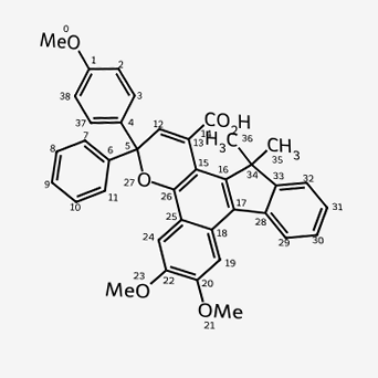 COc1ccc(C2(c3ccccc3)C=C(C(=O)O)c3c4c(c5cc(OC)c(OC)cc5c3O2)-c2ccccc2C4(C)C)cc1